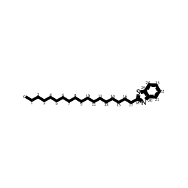 CCCCCCCCCCCCCCCCCCc1nc2ccccc2s1